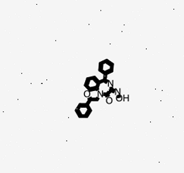 O=C(Cn1c(=O)c(=NO)nc(-c2ccccc2)c2ccccc21)c1ccccc1